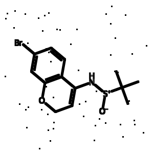 CC(C)(C)[S+]([O-])NC1=CCOc2cc(Br)ccc21